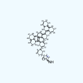 CC(/C=C\C=N)C1CC=CC(C2=CC=C(C3=c4ccccc4=C(C4=C5C=CCCC5=C5CCC=CC5C4)CC3)C(NC3CCC=C4CCCCC43)C2)C1